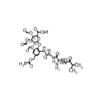 BC(=O)OCc1ccc(O[C@@H]2O[C@H](C(=O)O)[C@@H](OC=O)[C@H](OC=O)[C@H]2OC=O)c(NC(=O)BNC(=O)C(N)BNC(=O)C(C)C)c1